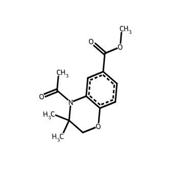 COC(=O)c1ccc2c(c1)N(C(C)=O)C(C)(C)CO2